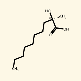 CCCCCCCC[C@@](C)(O)C(=O)O